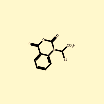 CCC(C(=O)O)n1c(=O)oc(=O)c2ccccc21